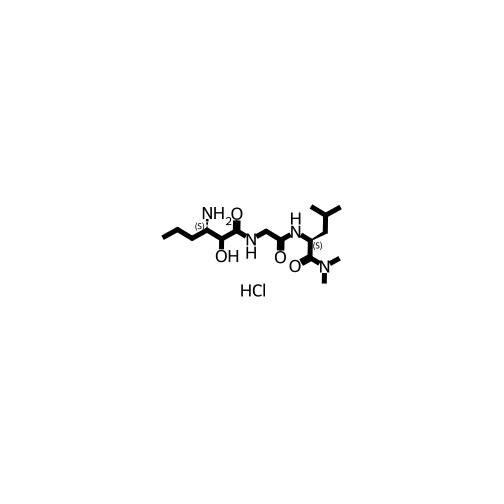 CCC[C@H](N)C(O)C(=O)NCC(=O)N[C@@H](CC(C)C)C(=O)N(C)C.Cl